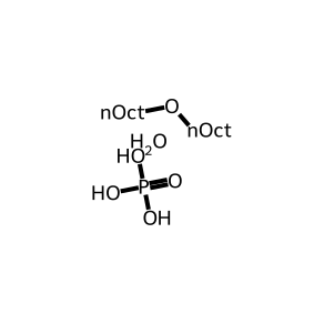 CCCCCCCCOCCCCCCCC.O.O=P(O)(O)O